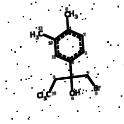 Cc1ccc(C(O)(CBr)CC(Cl)(Cl)Cl)cc1C